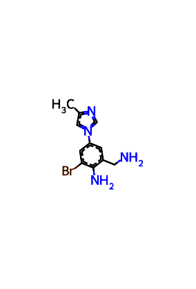 Cc1cn(-c2cc(Br)c(N)c(CN)c2)cn1